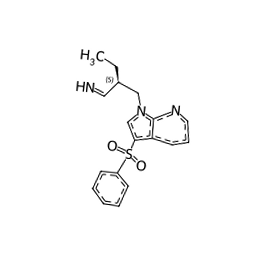 CC[C@H](C=N)Cn1cc(S(=O)(=O)c2ccccc2)c2cccnc21